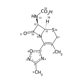 CC1=C(c2nc(C)no2)N2C(=O)[C@@H](NC(=O)O)[C@H]2SC1